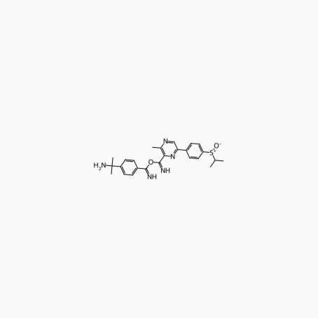 Cc1ncc(-c2ccc([S+]([O-])C(C)C)cc2)nc1C(=N)OC(=N)c1ccc(C(C)(C)N)cc1